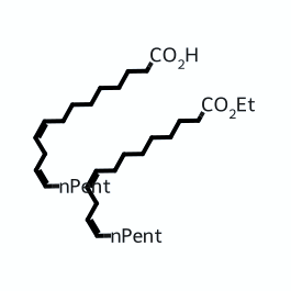 CCCCC/C=C\C/C=C\CCCCCCCC(=O)O.CCCCC/C=C\C/C=C\CCCCCCCC(=O)OCC